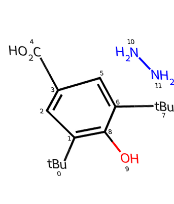 CC(C)(C)c1cc(C(=O)O)cc(C(C)(C)C)c1O.NN